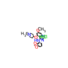 COc1cc(OC2CCN(C)CC2)c2c(Nc3cccc4c3OCO4)ncnc2c1.Cl.Cl